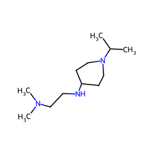 CC(C)N1CCC(NCCN(C)C)CC1